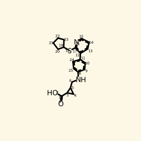 O=C(O)C1CC1CNc1ccc(-c2cccnc2SC2CCCC2)cc1